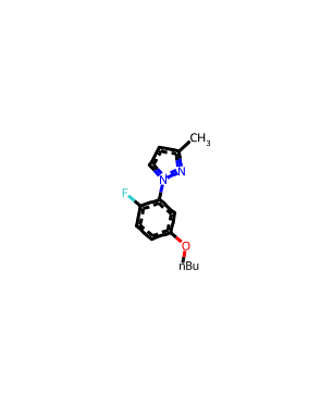 CCCCOc1ccc(F)c(-n2ccc(C)n2)c1